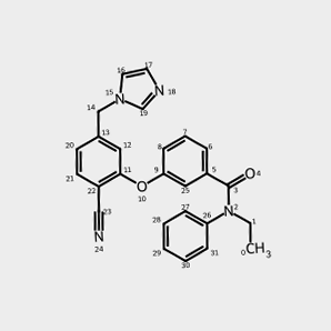 CCN(C(=O)c1cccc(Oc2cc(Cn3ccnc3)ccc2C#N)c1)c1ccccc1